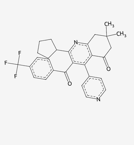 CC1(C)CC(=O)c2c(nc(C3CCCC3)c(C(=O)c3ccc(C(F)(F)F)cc3)c2-c2ccncc2)C1